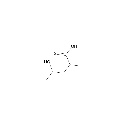 CC(O)CC(C)C(O)=S